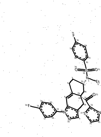 CCN([C@H]1CCC2=Cc3c(cnn3-c3ccc(F)cc3)C[C@]2(C(=O)c2nccs2)C1)S(=O)(=O)c1ccc(F)cc1